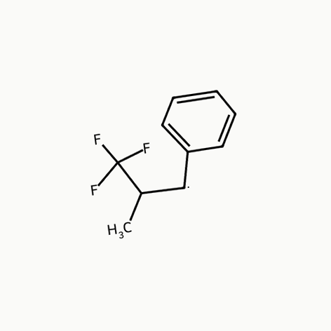 CC([CH]c1ccccc1)C(F)(F)F